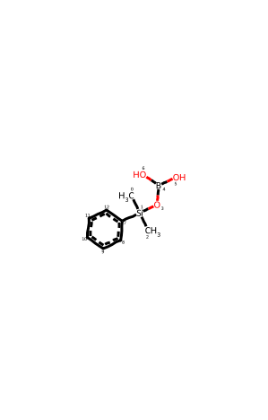 C[Si](C)(OB(O)O)c1ccccc1